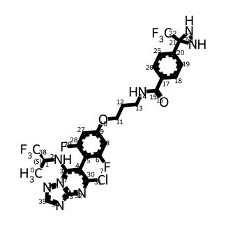 C[C@H](Nc1c(-c2c(F)cc(OCCCNC(=O)c3ccc(C4(C(F)(F)F)NN4)cc3)cc2F)c(Cl)nc2ncnn12)C(F)(F)F